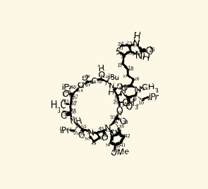 CC[C@H](C)[C@H]1NC(=O)[C@@H](NC(=O)[C@@H](CC(C)C)N(C)C(=O)CCCCC2SCC3NC(=O)NC32)[C@@H](C)OC(=O)[C@H](Cc2ccc(OC)cc2)N(C)C(=O)C2CCCN2C(=O)[C@H](CC(C)C)NC(=O)[C@@H](C)C(=O)[C@H](C(C)C)OC(=O)C[C@@H]1O